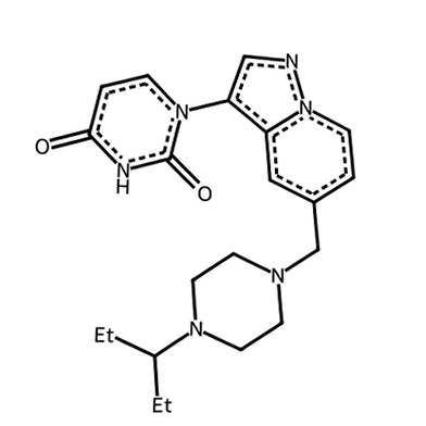 CCC(CC)N1CCN(Cc2ccn3ncc(-n4ccc(=O)[nH]c4=O)c3c2)CC1